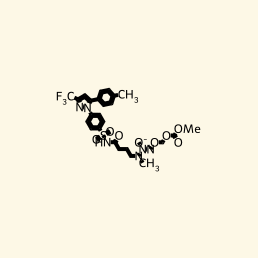 COC(=O)OCON=[N+]([O-])N(C)CCCC(=O)NS(=O)(=O)c1ccc(-n2nc(C(F)(F)F)cc2-c2ccc(C)cc2)cc1